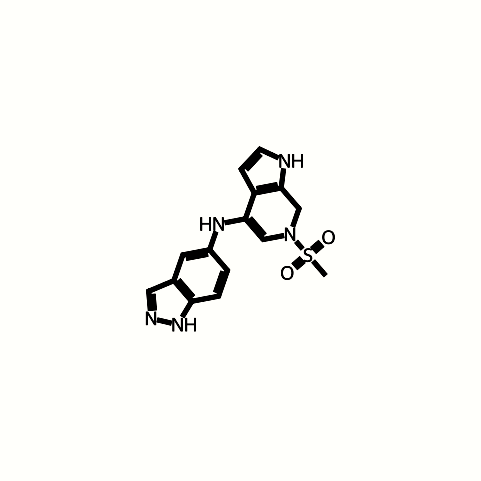 CS(=O)(=O)N1C=C(Nc2ccc3[nH]ncc3c2)c2cc[nH]c2C1